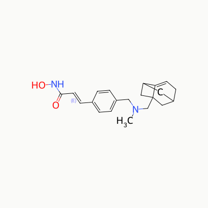 CN(Cc1ccc(/C=C/C(=O)NO)cc1)CC12CC3CC=C1C(C3)C2